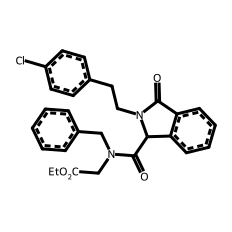 CCOC(=O)CN(Cc1ccccc1)C(=O)C1c2ccccc2C(=O)N1CCc1ccc(Cl)cc1